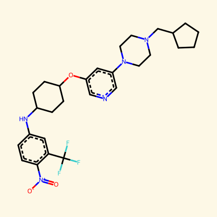 O=[N+]([O-])c1ccc(NC2CCC(Oc3cncc(N4CCN(CC5CCCC5)CC4)c3)CC2)cc1C(F)(F)F